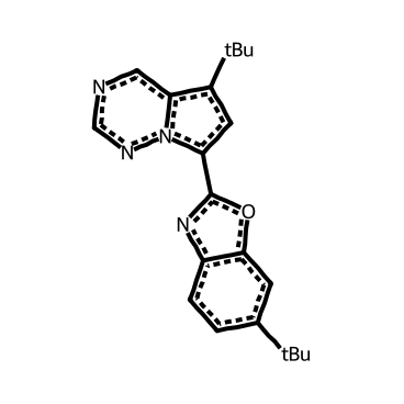 CC(C)(C)c1ccc2nc(-c3cc(C(C)(C)C)c4cncnn34)oc2c1